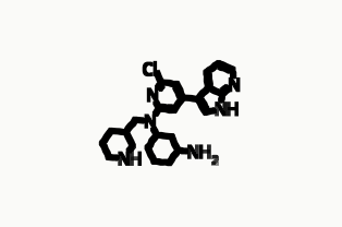 NC1CCCC(N(CC2CCCNC2)c2cc(-c3c[nH]c4ncccc34)cc(Cl)n2)C1